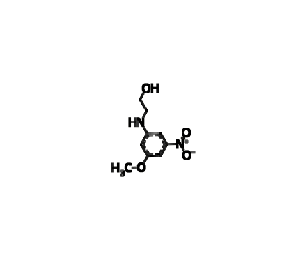 COc1cc(NCCO)cc([N+](=O)[O-])c1